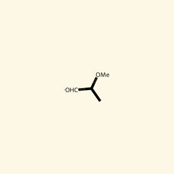 COC(C)[C]=O